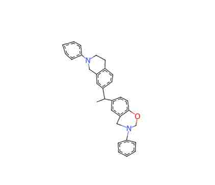 CC(c1ccc2c(c1)CN(c1ccccc1)CC2)c1ccc2c(c1)CN(c1ccccc1)CO2